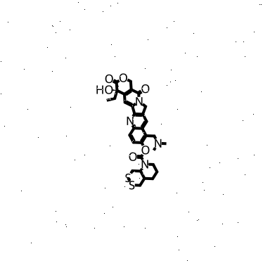 CC[C@@]1(O)C(=O)OCc2c1cc1n(c2=O)Cc2cc3c(CN(C)C)c(OC(=O)N4CCCC5CSSCC54)ccc3nc2-1